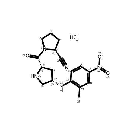 Cl.N#C[C@@H]1CCCN1C(=O)[C@@H]1C[C@H](Nc2ccc([N+](=O)[O-])cc2F)CN1